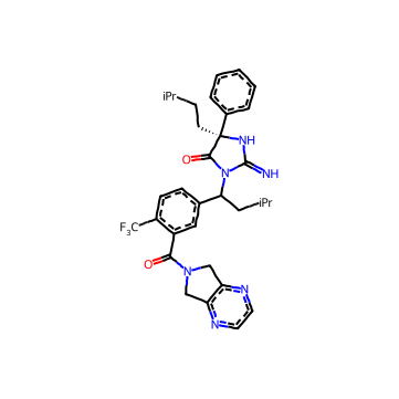 CC(C)CC[C@]1(c2ccccc2)NC(=N)N(C(CC(C)C)c2ccc(C(F)(F)F)c(C(=O)N3Cc4nccnc4C3)c2)C1=O